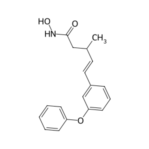 CC(C=Cc1cccc(Oc2ccccc2)c1)CC(=O)NO